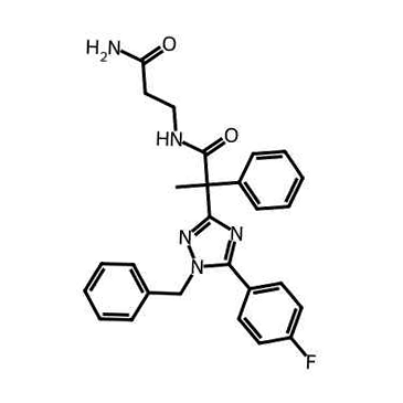 CC(C(=O)NCCC(N)=O)(c1ccccc1)c1nc(-c2ccc(F)cc2)n(Cc2ccccc2)n1